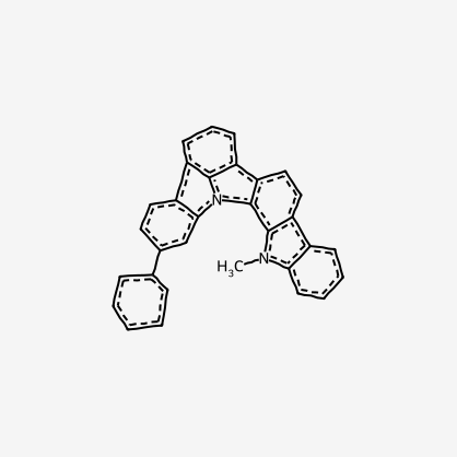 Cn1c2ccccc2c2ccc3c4cccc5c6ccc(-c7ccccc7)cc6n(c54)c3c21